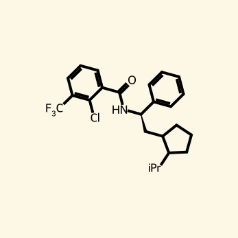 CC(C)C1CCCC1C[C@@H](NC(=O)c1cccc(C(F)(F)F)c1Cl)c1ccccc1